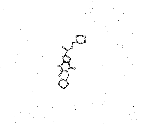 O=C(OCc1ccncc1)c1cc2c(=O)n(Cc3ccccc3)c(=O)[nH]c2s1